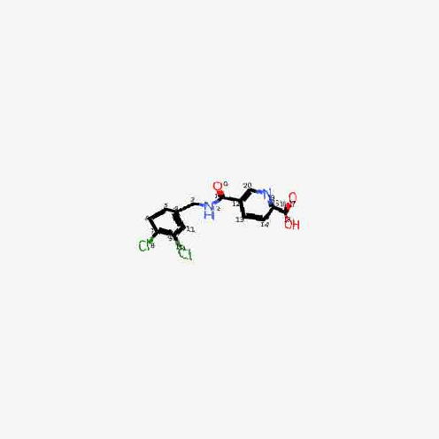 O=C(NCc1ccc(Cl)c(Cl)c1)c1ccc(C(=O)O)nc1